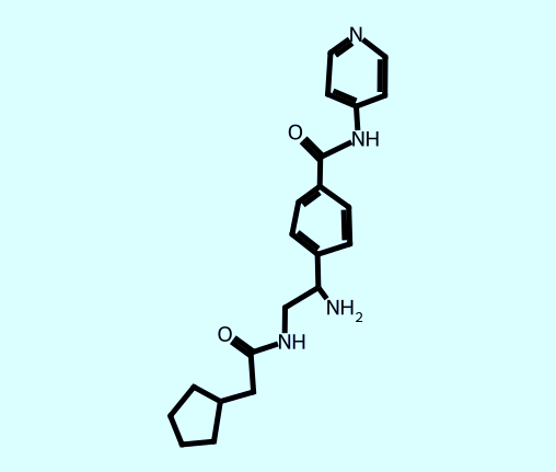 NC(CNC(=O)CC1CCCC1)c1ccc(C(=O)Nc2ccncc2)cc1